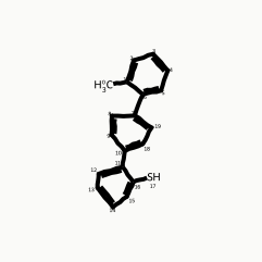 Cc1ccccc1-c1ccc(-c2ccccc2S)cc1